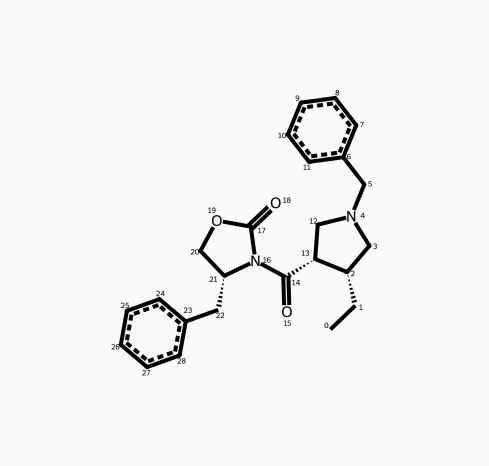 CC[C@H]1CN(Cc2ccccc2)C[C@H]1C(=O)N1C(=O)OC[C@H]1Cc1ccccc1